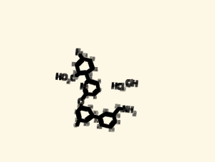 Cc1cc(Oc2cccc(-c3ccc(F)cc3C(=O)O)n2)cc(-c2cccc(CN)c2)c1.Cl.Cl